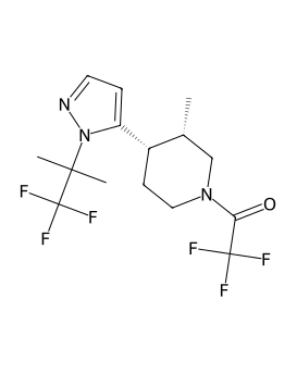 C[C@@H]1CN(C(=O)C(F)(F)F)CC[C@@H]1c1ccnn1C(C)(C)C(F)(F)F